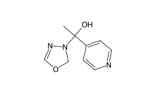 CC(O)(c1ccncc1)N1COC=N1